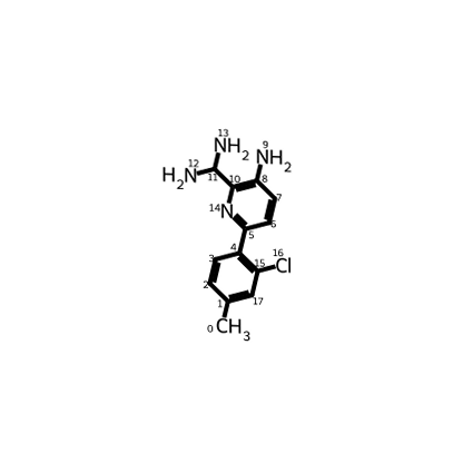 Cc1ccc(-c2ccc(N)c(C(N)N)n2)c(Cl)c1